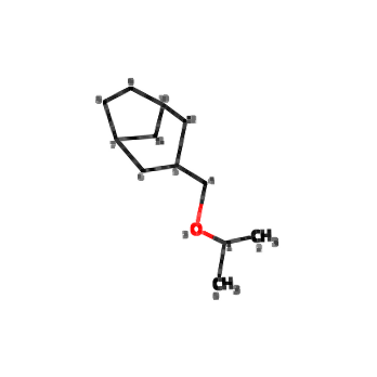 CC(C)OCC1CC2CCC(C2)C1